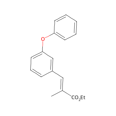 CCOC(=O)/C(C)=C/c1cccc(Oc2ccccc2)c1